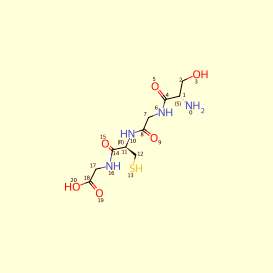 N[C@@H](CO)C(=O)NCC(=O)N[C@@H](CS)C(=O)NCC(=O)O